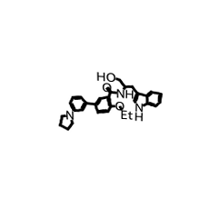 CCOc1ccc(-c2cccc(N3CCCC3)c2)cc1C(=O)NC(CO)Cc1c[nH]c2ccccc12